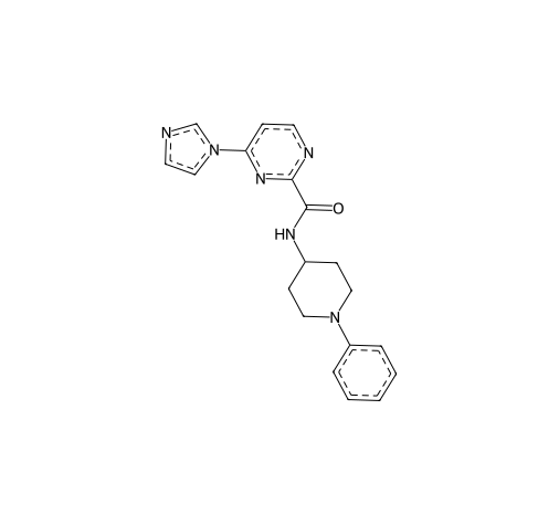 O=C(NC1CCN(c2ccccc2)CC1)c1nccc(-n2ccnc2)n1